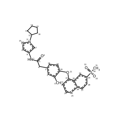 Cc1cc(CC(=O)Nc2cnn(C3CCCC3)c2)ccc1Oc1ccnc2ccc(S(C)(=O)=O)cc12